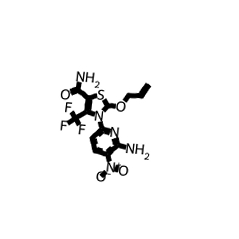 C=CCOC1SC(C(N)=O)=C(C(F)(F)F)N1c1ccc([N+](=O)[O-])c(N)n1